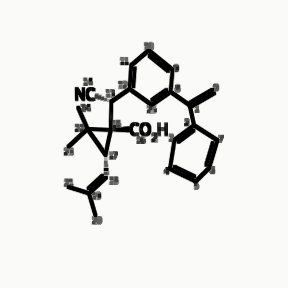 C=C(c1ccccc1)c1cccc([C@@H](C#N)[C@]2(C(=O)O)[C@H](C=C(C)C)C2(C)C)c1